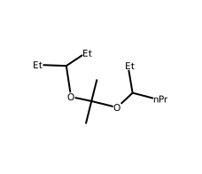 CCCC(CC)OC(C)(C)OC(CC)CC